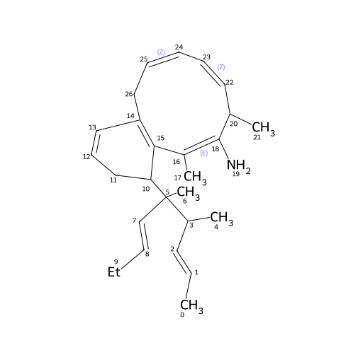 CC=CC(C)C(C)(C=CCC)C1CC=CC2=C1/C(C)=C(/N)C(C)/C=C\C=C/C2